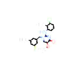 COc1cn(Cc2cc(C)cc(F)c2)c(Nc2cccc(Cl)c2C)nc1=O